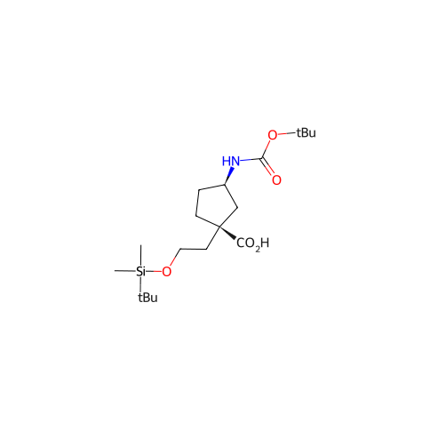 CC(C)(C)OC(=O)N[C@@H]1CC[C@](CCO[Si](C)(C)C(C)(C)C)(C(=O)O)C1